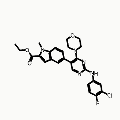 CCOC(=O)c1cc2cc(-c3cnc(Nc4ccc(F)c(Cl)c4)nc3N3CCOCC3)ccc2n1C